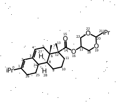 CC(C)C1=CC2=CC[C@@]3(C)[C@@H](CCC[C@@]3(C)C(=O)OC3COC(C(C)C)OC3)[C@H]2CC1